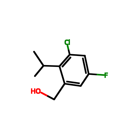 CC(C)c1c(Cl)cc(F)cc1CO